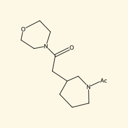 CC(=O)N1CCCC(CC(=O)N2CCOCC2)C1